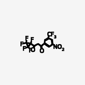 O=C(CC(=O)C1(F)C(F)(F)C1(F)F)c1cc([N+](=O)[O-])cc(C(F)(F)F)c1